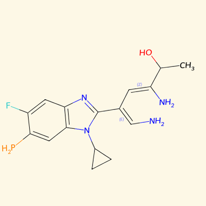 CC(O)/C(N)=C/C(=C\N)c1nc2cc(F)c(P)cc2n1C1CC1